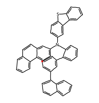 c1cc(-c2ccccc2N(c2ccc3c(ccc4ccccc43)c2)c2ccc3sc4ccccc4c3c2)cc(-c2cccc3ccccc23)c1